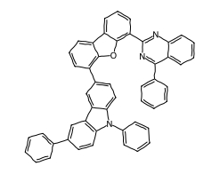 c1ccc(-c2ccc3c(c2)c2cc(-c4cccc5c4oc4c(-c6nc(-c7ccccc7)c7ccccc7n6)cccc45)ccc2n3-c2ccccc2)cc1